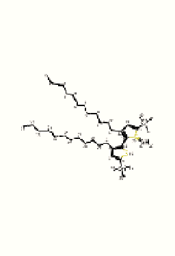 CCCCCCCCCCCCC1=C(c2s[c]([Sn]([CH3])([CH3])[CH3])cc2CCCCCCCCCCCC)S(=[SiH2])[C]([Sn]([CH3])([CH3])[CH3])=C1